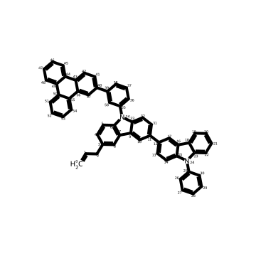 C=CCc1ccc2c(c1)c1cc(-c3ccc4c(c3)c3ccccc3n4-c3ccccc3)ccc1n2-c1cccc(-c2ccc3c4ccccc4c4ccccc4c3c2)c1